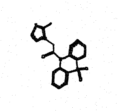 Cc1nccn1CC(=O)N1c2ccccc2S(=O)(=O)c2ccccc21